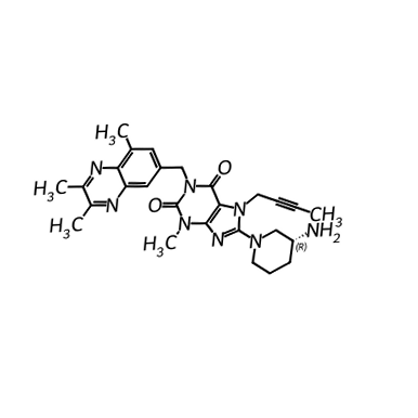 CC#CCn1c(N2CCC[C@@H](N)C2)nc2c1c(=O)n(Cc1cc(C)c3nc(C)c(C)nc3c1)c(=O)n2C